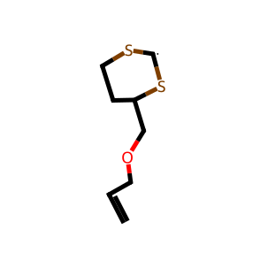 C=CCOCC1CCS[CH]S1